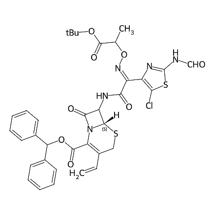 C=CC1=C(C(=O)OC(c2ccccc2)c2ccccc2)N2C(=O)C(NC(=O)C(=NOC(C)C(=O)OC(C)(C)C)c3nc(NC=O)sc3Cl)[C@@H]2SC1